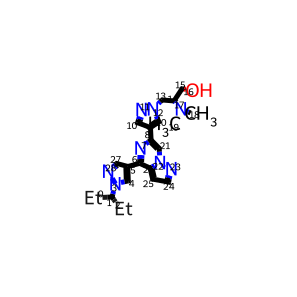 CCC(CC)n1cc(-c2nc(-c3cnn(CC(CO)N(C)C)c3)cn3nccc23)cn1